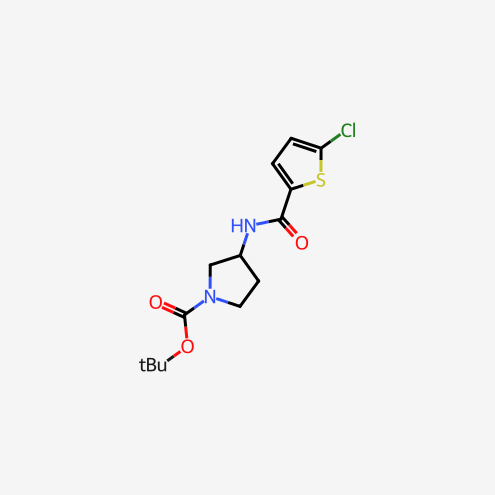 CC(C)(C)OC(=O)N1CCC(NC(=O)c2ccc(Cl)s2)C1